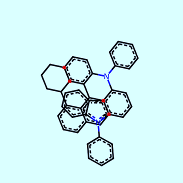 c1ccc(N(c2ccccc2-c2cccc3cccc(C4CCCCC4)c23)c2cccc3c2c2ccccc2n3-c2ccccc2)cc1